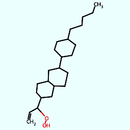 C=CC(OO)C1CCC2CC(C3CCC(CCCCC)CC3)CCC2C1